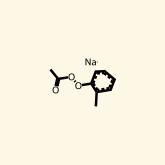 CC(=O)OOc1ccccc1C.[Na]